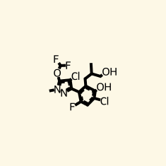 CC(CO)Cc1c(O)c(Cl)cc(F)c1-c1nn(C)c(OC(F)F)c1Cl